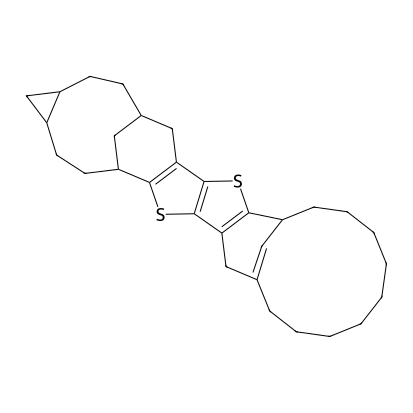 C1=C2CCCCCCCCCC1c1sc3c4c(sc3c1C2)C1CCC2CC2CCC(C4)C1